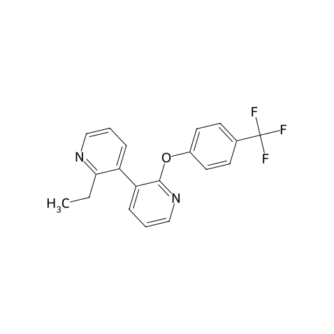 CCc1ncccc1-c1cccnc1Oc1ccc(C(F)(F)F)cc1